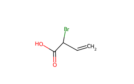 C=CC(Br)C(=O)O